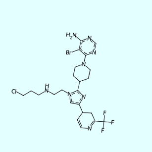 Nc1ncnc(N2CCC(c3nc(C4C=CN=C(C(F)(F)F)C4)cn3CCNCCCCl)CC2)c1Br